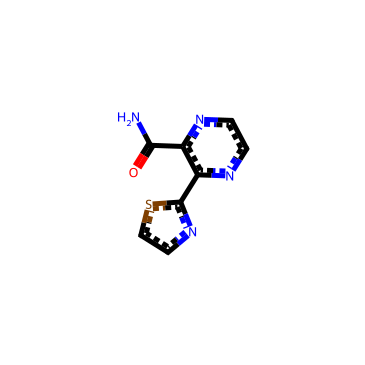 NC(=O)c1nccnc1-c1nccs1